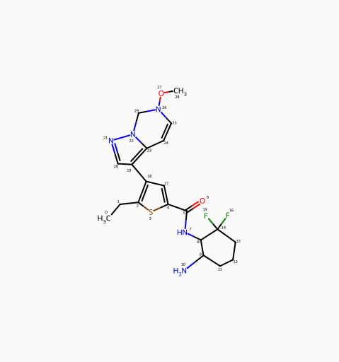 CCc1sc(C(=O)NC2C(N)CCCC2(F)F)cc1-c1cnn2c1C=CN(OC)C2